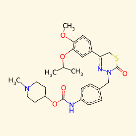 COc1ccc(C2=NN(Cc3ccc(NC(=O)OC4CCN(C)CC4)cc3)C(=O)SC2)cc1OC(C)C